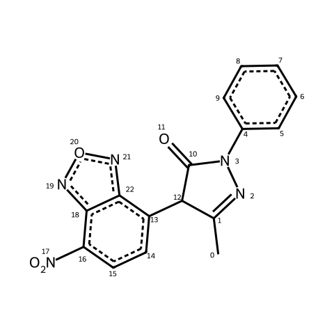 CC1=NN(c2ccccc2)C(=O)C1c1ccc([N+](=O)[O-])c2nonc12